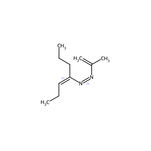 C=C(C)/N=N\C(=C/CC)CCC